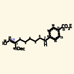 CCCCCCCCCC/C(CCCCCNc1ccc(C(=O)OCC)cc1)=N\O